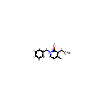 CC(=O)OCc1c(C)ccn(Cc2ccccc2)c1=O